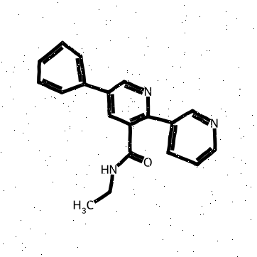 CCNC(=O)c1cc(-c2ccccc2)cnc1-c1cccnc1